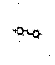 CN1CC=C(/C=C/c2ccccc2)CC1